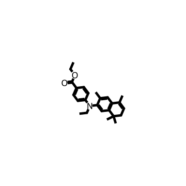 CCOC(=O)c1ccc(N(CC)c2cc3c(cc2C)C(C)=CCC3(C)C)cc1